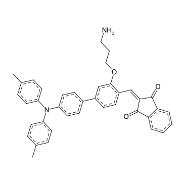 Cc1ccc(N(c2ccc(C)cc2)c2ccc(-c3ccc(C=C4C(=O)c5ccccc5C4=O)c(OCCCN)c3)cc2)cc1